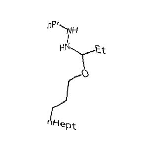 CCCCCCCCCCOC(CC)NNCCC